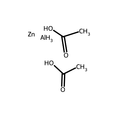 CC(=O)O.CC(=O)O.[AlH3].[Zn]